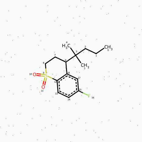 CCCC(C)(C)C1CCS(=O)(=O)c2ccc(F)cc21